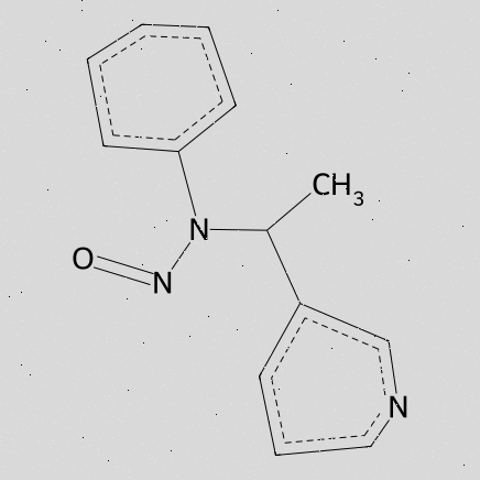 CC(c1cccnc1)N(N=O)c1ccccc1